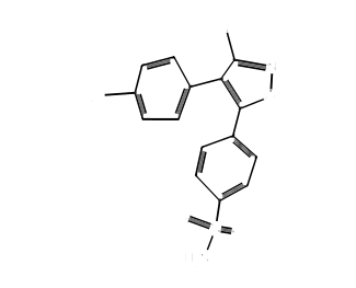 Cc1ccc(-c2c(C)noc2-c2ccc(S(N)(=O)=O)cc2)cc1